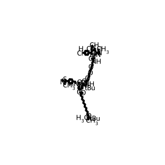 Cc1ncsc1-c1ccc(CNC(=O)[C@@H]2C[C@@H](OC(=O)CCCCCCCCCCCO[Si](C)(C)C(C)(C)C)CN2C(=O)[C@@H](NC(=O)COCCOCCOCCNC(=O)C[C@@H]2N=C(c3ccc(Cl)cc3)c3c(sc(C)c3C)-n3c(C)nnc32)C(C)(C)C)cc1